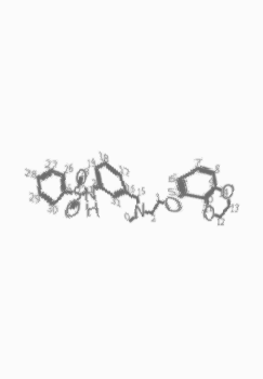 CN(CCOc1cccc2c1OCCO2)Cc1cccc(NS(=O)(=O)c2ccccc2)c1